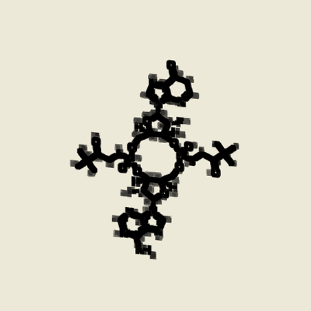 CC(C)(C)C(=O)CSP1(=O)OC[C@H]2O[C@@H](n3cnc4c(N)ncnc43)[C@H](F)[C@@H]2OP(=O)(SCC(=O)C(C)(C)C)OC[C@H]2O[C@@H](n3cnc4c3N=CCC4=O)[C@H](F)[C@@H]2O1